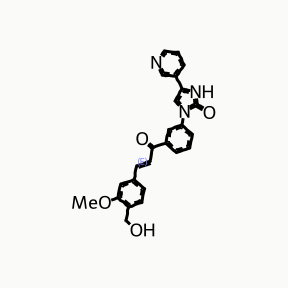 COc1cc(/C=C/C(=O)c2cccc(-n3cc(-c4cccnc4)[nH]c3=O)c2)ccc1CO